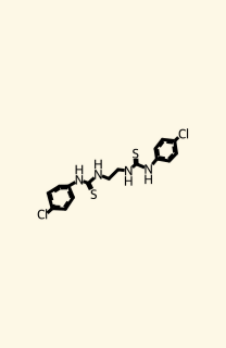 S=C(NCCNC(=S)Nc1ccc(Cl)cc1)Nc1ccc(Cl)cc1